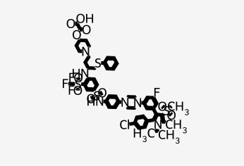 Cc1c(S(C)(=O)=O)c(-c2cc(F)cc(N3CCN(c4ccc(NS(=O)(=O)c5ccc(NC(CCN6CCC(OC(=O)C(=O)O)CC6)CSc6ccccc6)c(S(=O)(=O)C(F)(F)F)c5)cc4)CC3)c2)c(-c2ccc(Cl)cc2)n1C(C)C